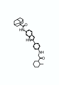 CC1CCCCC1C(=O)CNc1ccc(-c2cc3ccc(NC(=O)C45CC6CC(CC(C6)C4)C5)cc3[nH]2)cc1